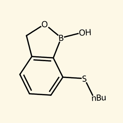 CCCCSc1cccc2c1B(O)OC2